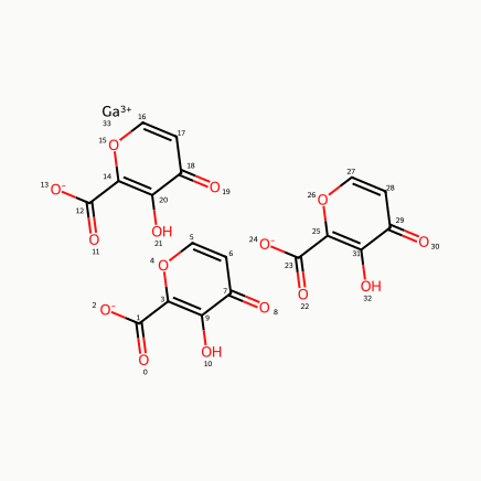 O=C([O-])c1occc(=O)c1O.O=C([O-])c1occc(=O)c1O.O=C([O-])c1occc(=O)c1O.[Ga+3]